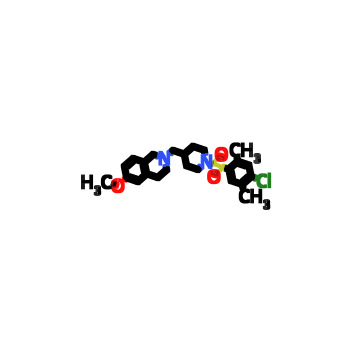 COc1ccc2c(c1)CCN(CC1CCN(S(=O)(=O)c3cc(C)c(Cl)cc3C)CC1)C2